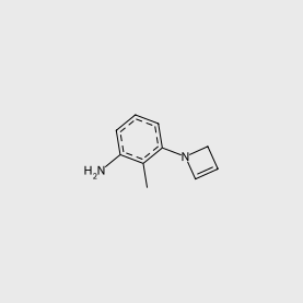 Cc1c(N)cccc1N1C=CC1